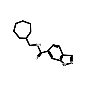 O=C(NCC1CCCCCC1)c1ccc2cn[nH]c2c1